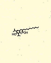 CCCCCCCCCCCC(Cc1cc(C(C)C)c(O)c(C(C)C)c1)C(=O)O